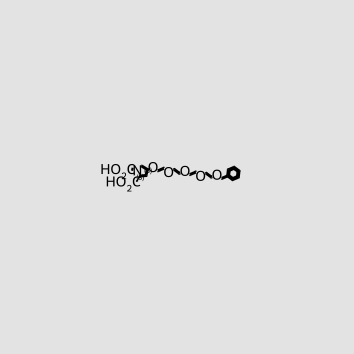 O=C(O)[C@@H]1C[C@H](OCCOCCOCCOCCOCc2ccccc2)CN1C(=O)O